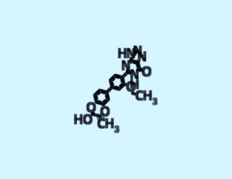 CCOc1cc(-c2cccc(O[C@@H](C)C(=O)O)c2)ccc1-c1nc2[nH]nnc2c(=O)[nH]1